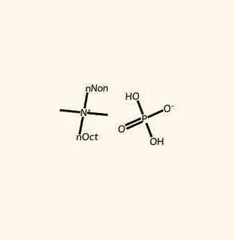 CCCCCCCCC[N+](C)(C)CCCCCCCC.O=P([O-])(O)O